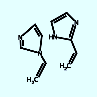 C=Cc1ncc[nH]1.C=Cn1ccnc1